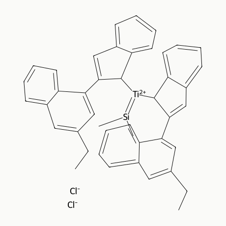 CCc1cc(C2=Cc3ccccc3[CH]2[Ti+2]([CH]2C(c3cc(CC)cc4ccccc34)=Cc3ccccc32)=[Si](C)C)c2ccccc2c1.[Cl-].[Cl-]